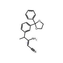 CC(/C(N)=C/C#N)c1cccc(C2(c3ccccc3)OCCO2)c1